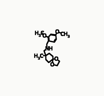 COc1ccc(CNCC2(C)CCC3(CC2)OCCO3)c(OC)c1